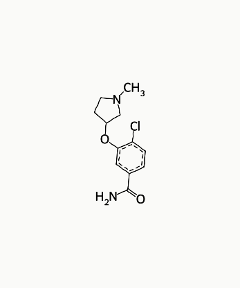 CN1CCC(Oc2cc(C(N)=O)ccc2Cl)C1